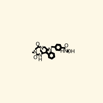 CN1CC(=O)N2Cc3c(c4ccccc4n3Cc3ccc(C(=O)NO)cc3)C(C2)NC1=O